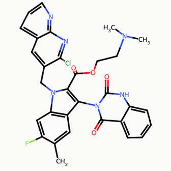 Cc1cc2c(-n3c(=O)[nH]c4ccccc4c3=O)c(C(=O)OCCN(C)C)n(Cc3cc4cccnc4nc3Cl)c2cc1F